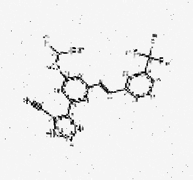 N#Cc1[nH]nnc1-c1cc(/C=C/c2cccc(C(F)(F)F)c2)cc(OC(F)F)c1